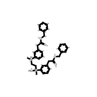 C[SiH](CC[Si](C)(O)c1cccc(CC(=O)OCc2ccccc2)c1)c1cccc(CC(=O)OCc2ccccc2)c1